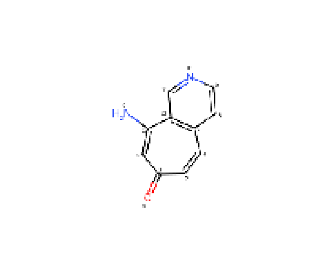 Nc1cc(=O)ccc2ccncc12